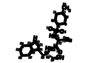 CC[C@H](C)[C@H](NS(=O)(=O)c1ccc(C)cc1)C(=O)N[C@H](CO)Cc1c[nH]c2ccccc12